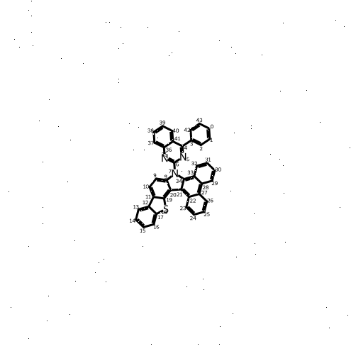 c1ccc(-c2nc(-n3c4ccc5c6ccccc6sc5c4c4c5ccccc5c5ccccc5c43)nc3ccccc23)cc1